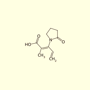 C=CC(=C(C)C(=O)O)N1CCCC1=O